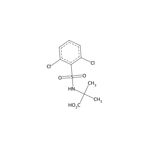 CC(C)(NS(=O)(=O)c1c(Cl)cccc1Cl)C(=O)O